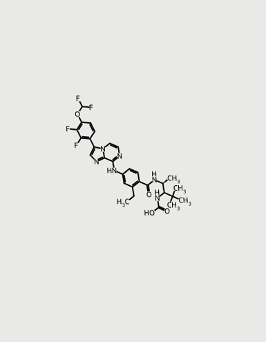 CCc1cc(Nc2nccn3c(-c4ccc(OC(F)F)c(F)c4F)cnc23)ccc1C(=O)N[C@@H](C)C(NC(=O)O)C(C)(C)C